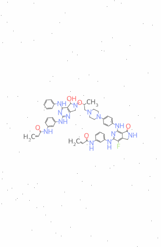 C=CC(=O)Nc1cccc(Nc2nc3c(c(Nc4ccccc4)n2)C(O)N(OC(C)CN2CCN(c4ccc(Nc5nc(Nc6cccc(NC(=O)C=C)c6)c(F)c6c5C(=O)NC6)cc4)CC2)C3)c1